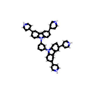 c1cc(-n2c3ccc(-c4ccncc4)cc3c3cc(-c4ccncc4)ccc32)cc(-n2c3ccc(-c4ccncc4)cc3c3cc(-c4ccncc4)ccc32)c1